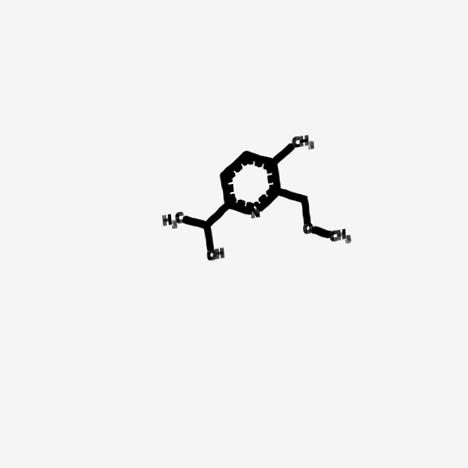 COCc1nc(C(C)O)ccc1C